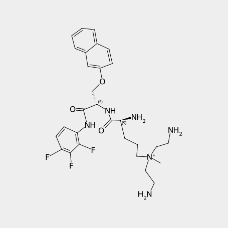 C[N+](CCN)(CCN)CCC[C@H](N)C(=O)N[C@@H](COc1ccc2ccccc2c1)C(=O)Nc1ccc(F)c(F)c1F